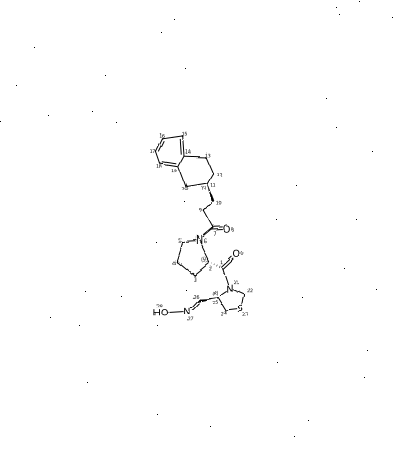 O=C([C@@H]1CCCN1C(=O)CC[C@@H]1CCc2ccccc2C1)N1CSC[C@H]1C=NO